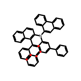 c1ccc(-c2cc(-c3ccccc3)cc(N(c3ccc4ccccc4c3-c3cccc4ccccc34)c3cc4ccccc4c4ccccc34)c2)cc1